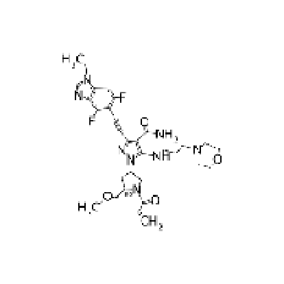 C=CC(=O)N1CC(n2nc(C#Cc3c(F)cc4c(ncn4CC)c3F)c(C(N)=O)c2NCCCN2CCOCC2)C[C@@H]1COC